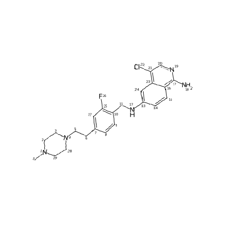 CN1CCN(CCc2ccc(CNc3ccc4c(N)ncc(Cl)c4c3)c(F)c2)CC1